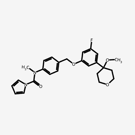 COC1(c2cc(F)cc(OCc3ccc(N(C)C(=O)n4cccc4)cc3)c2)CCOCC1